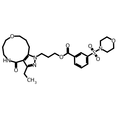 CCc1nn(CCCOC(=O)c2cccc(S(=O)(=O)N3CCOCC3)c2)c2c1C(=O)NCCCOCCC2